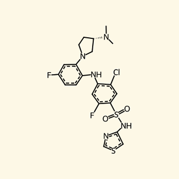 CN(C)[C@H]1CCN(c2cc(F)ccc2Nc2cc(F)c(S(=O)(=O)Nc3cscn3)cc2Cl)C1